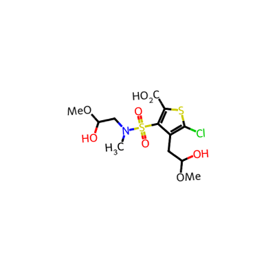 COC(O)Cc1c(Cl)sc(C(=O)O)c1S(=O)(=O)N(C)CC(O)OC